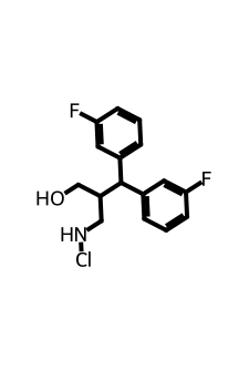 OCC(CNCl)C(c1cccc(F)c1)c1cccc(F)c1